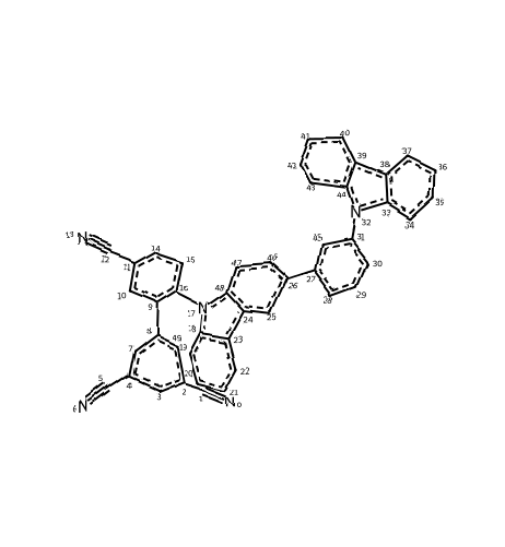 N#Cc1cc(C#N)cc(-c2cc(C#N)ccc2-n2c3ccccc3c3cc(-c4cccc(-n5c6ccccc6c6ccccc65)c4)ccc32)c1